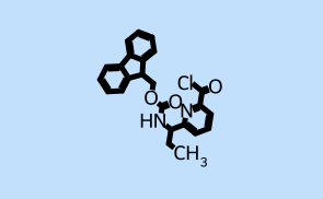 CCC(NC(=O)OCC1c2ccccc2-c2ccccc21)c1cccc(C(=O)Cl)n1